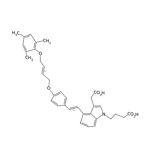 Cc1cc(C)c(OC/C=C/COc2ccc(/C=C/c3cccc4c3c(CC(=O)O)cn4CCCC(=O)O)cc2)c(C)c1